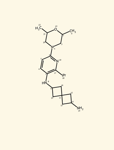 CC1CN(c2ccc(NC3CC4(CC(N)C4)C3)c(C(C)C)n2)CC(C)O1